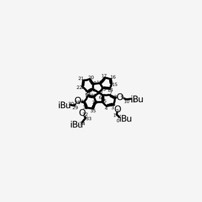 CCC(C)COc1cc2c(cc1OCC(C)CC)C1(c3c[c]ccc3-c3cc[c]cc31)c1cc(OCC(C)CC)c(OCC(C)CC)cc1-2